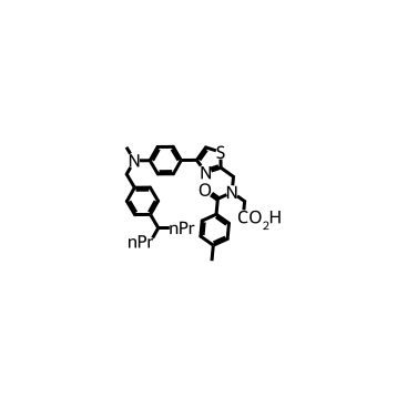 CCCC(CCC)c1ccc(CN(C)c2ccc(-c3csc(CN(CC(=O)O)C(=O)c4ccc(C)cc4)n3)cc2)cc1